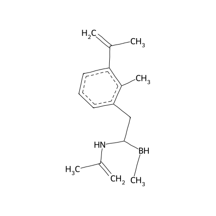 C=C(C)NC(BC)Cc1cccc(C(=C)C)c1C